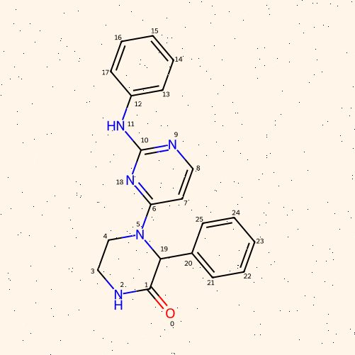 O=C1NCCN(c2ccnc(Nc3ccccc3)n2)C1c1ccccc1